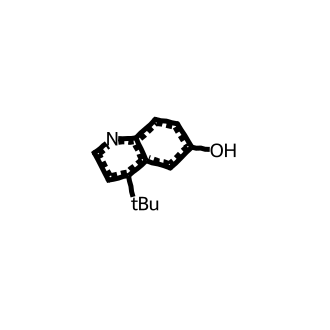 CC(C)(C)c1ccnc2ccc(O)cc12